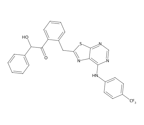 O=C(c1ccccc1Cc1nc2c(Nc3ccc(C(F)(F)F)cc3)ncnc2s1)C(O)c1ccccc1